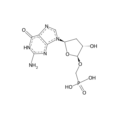 Nc1nc2c(ncn2[C@H]2C[C@H](O)[C@@H](OCP(=O)(O)O)O2)c(=O)[nH]1